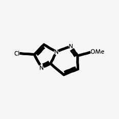 COc1ccc2nc(Cl)cn2n1